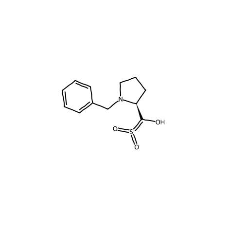 O=S(=O)=C(O)[C@@H]1CCCN1Cc1ccccc1